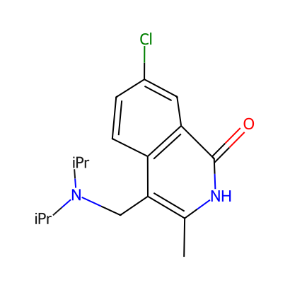 Cc1[nH]c(=O)c2cc(Cl)ccc2c1CN(C(C)C)C(C)C